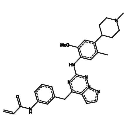 C=CC(=O)Nc1cccc(Cc2nc(Nc3cc(C)c(C4CCN(C)CC4)cc3OC)nn3nccc23)c1